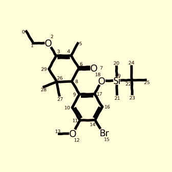 CCOC1=C(C)C(=O)C(c2cc(OC)c(Br)cc2O[Si](C)(C)C(C)(C)C)C(C)(C)C1